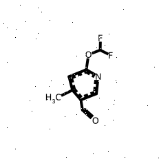 Cc1cc(OC(F)F)ncc1C=O